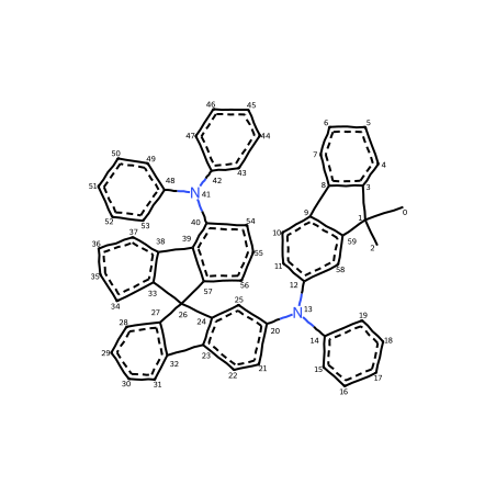 CC1(C)c2ccccc2-c2ccc(N(c3ccccc3)c3ccc4c(c3)C3(c5ccccc5-4)c4ccccc4-c4c(N(c5ccccc5)c5ccccc5)cccc43)cc21